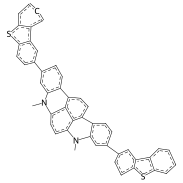 CN1c2cc(-c3ccc4sc5ccccc5c4c3)ccc2-c2ccc3c4c(ccc1c24)N(C)c1cc(-c2ccc4sc5ccccc5c4c2)ccc1-3